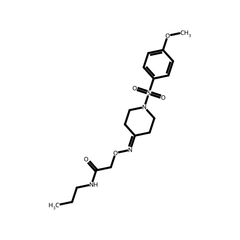 CCCNC(=O)CON=C1CCN(S(=O)(=O)c2ccc(OC)cc2)CC1